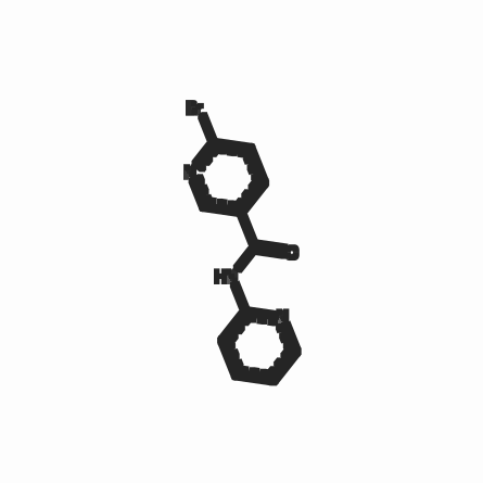 O=C(Nc1ccccn1)c1ccc(Br)nc1